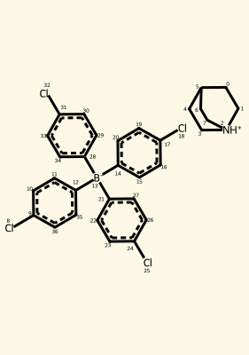 C1C[NH+]2CCC1CC2.Clc1ccc([B-](c2ccc(Cl)cc2)(c2ccc(Cl)cc2)c2ccc(Cl)cc2)cc1